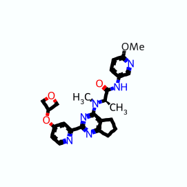 COc1ccc(NC(=O)[C@@H](C)N(C)c2nc(-c3cc(OC4COC4)ccn3)nc3c2CCC3)cn1